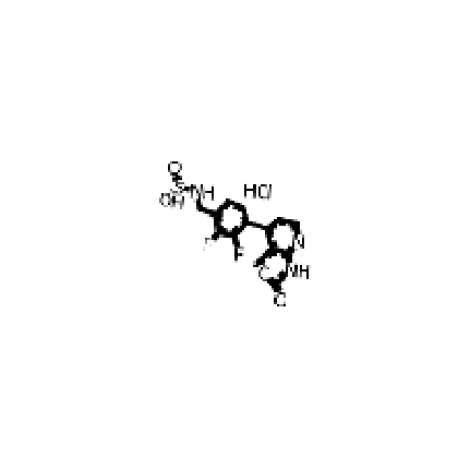 Cl.O=c1ccc2c(-c3ccc(CN[SH](=O)=O)c(F)c3F)ccnc2[nH]1